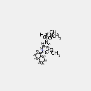 COC(=O)[C@H]1CN(C(=O)OC(C)(C)C)C[C@@H]1/C=C/c1cccc2ccccc12